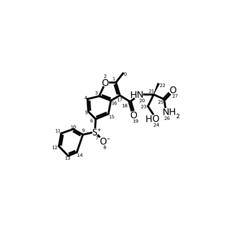 Cc1oc2ccc([S+]([O-])c3ccccc3)cc2c1C(=O)N[C@@](C)(CO)C(N)=O